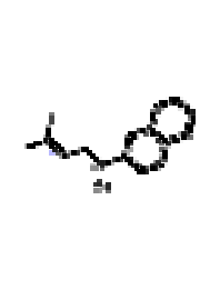 C/C(I)=C/C[C@@H](O)c1ccc2ncccc2c1